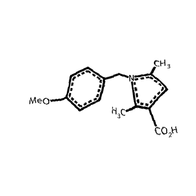 COc1ccc(Cn2c(C)cc(C(=O)O)c2C)cc1